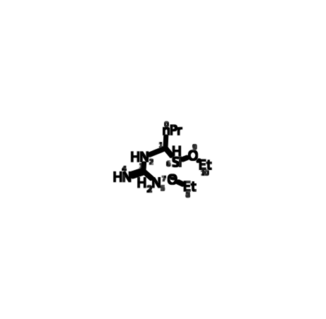 CCCC(NC(=N)N)[SiH](OCC)OCC